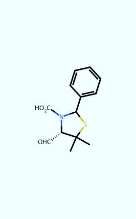 CC1(C)SC(c2ccccc2)N(C(=O)O)[C@H]1C=O